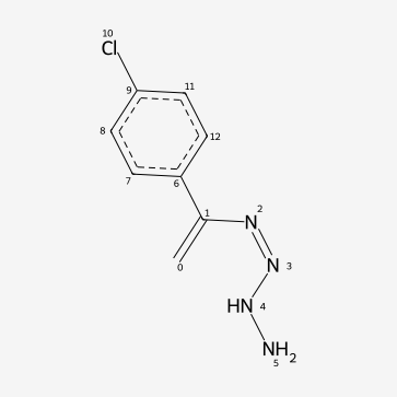 C=C(/N=N\NN)c1ccc(Cl)cc1